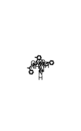 Cc1ccccc1CN(CC(=O)NCC(C)c1ccccc1)C(=O)C(Cc1c[nH]cn1)NC(=O)OCc1ccccc1